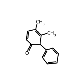 CC1=C(C)C(c2ccccc2)C(=O)C=C1